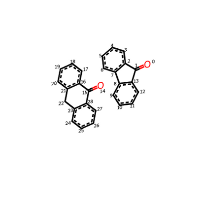 O=C1c2ccccc2-c2ccccc21.O=C1c2ccccc2Cc2ccccc21